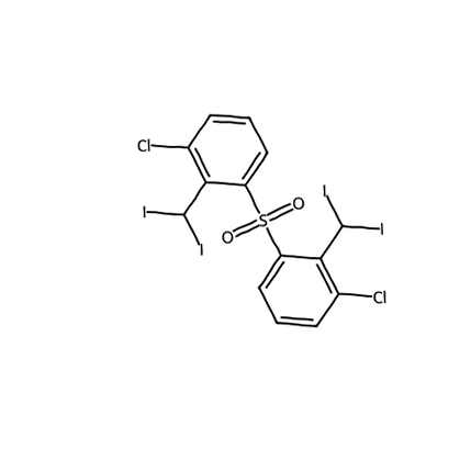 O=S(=O)(c1cccc(Cl)c1C(I)I)c1cccc(Cl)c1C(I)I